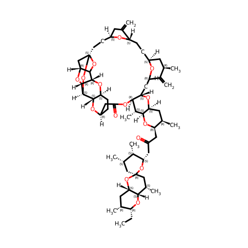 C=C1C[C@@H]2CC[C@@]34C[C@H]5O[C@H]6[C@@H](O3)[C@H]3O[C@H](CC[C@@H]3O[C@H]6C5O4)CC(=O)O[C@@H]3[C@@H](C)[C@@H]4O[C@H](CC(=O)C[C@@H]5O[C@@]6(C[C@H](C)[C@@H]5C)C[C@H](C)[C@@H]5O[C@H](CC)[C@H](C)C[C@@H]5O6)[C@H](C)C[C@@H]4O[C@H]3C[C@H]3O[C@@H](CC[C@@H]1O2)C[C@@H](C)C3=C